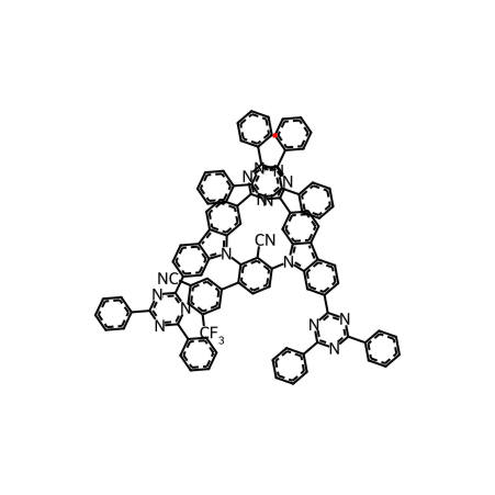 N#Cc1cc(-c2ccc(-n3c4cc(-c5nc(-c6ccccc6)nc(-c6ccccc6)n5)ccc4c4ccc(-c5nc(-c6ccccc6)nc(-c6ccccc6)n5)cc43)c(C#N)c2-n2c3cc(-c4nc(-c5ccccc5)nc(-c5ccccc5)n4)ccc3c3ccc(-c4nc(-c5ccccc5)nc(-c5ccccc5)n4)cc32)cc(C(F)(F)F)c1